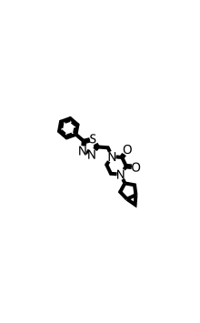 O=C1C(=O)N(C2CC3CC3C2)CCN1Cc1nnc(-c2ccccc2)s1